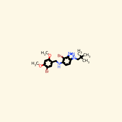 COc1cc(OC)c(CNc2ccc3c(nnn3CC(C)(C)C)c2Br)cc1Br